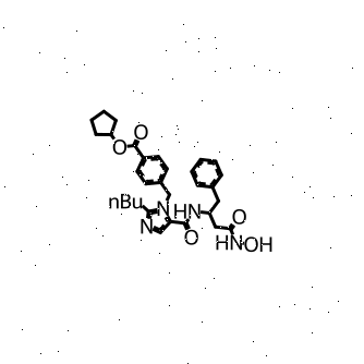 CCCCc1ncc(C(=O)NC(CC(=O)NO)Cc2ccccc2)n1Cc1ccc(C(=O)OC2CCCC2)cc1